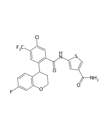 NC(=O)c1csc(NC(=O)c2cc(Cl)c(C(F)(F)F)cc2C2CCOc3cc(F)ccc32)c1